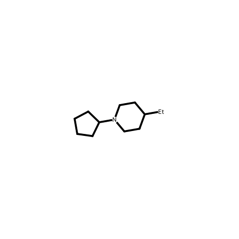 [CH2]CC1CCN(C2CCCC2)CC1